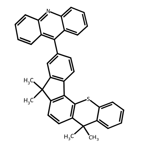 CC1(C)c2ccccc2Sc2c1ccc1c2-c2ccc(-c3c4ccccc4nc4ccccc34)cc2C1(C)C